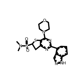 CN(C)S(=O)(=O)C1Cc2nc(-c3cccc4[nH]ncc34)nc(N3CCOCC3)c2S1